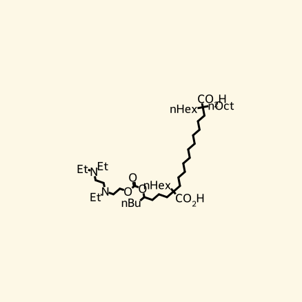 CCCCCCCCC(CCCCCC)(CCCCCCCCCCCC(CCCCCC)(CCCC(CCCC)OC(=O)OCCN(CC)CCN(CC)CC)C(=O)O)C(=O)O